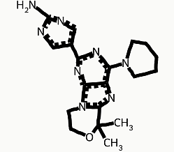 CC1(C)OCCn2c1nc1c(N3CCCCC3)nc(-c3cnc(N)nc3)nc12